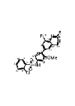 CCc1cc(-c2nnc(NS(=O)(=O)c3ccccc3Cl)cc2OC)cc2cnc(F)nc12